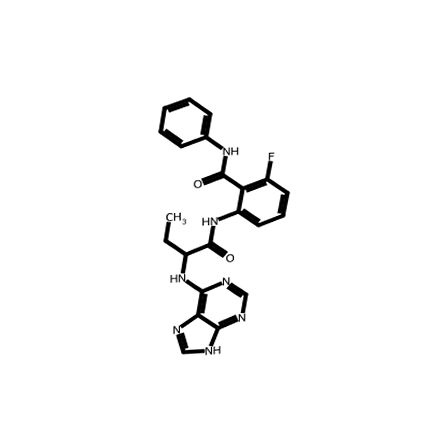 CCC(Nc1ncnc2[nH]cnc12)C(=O)Nc1cccc(F)c1C(=O)Nc1ccccc1